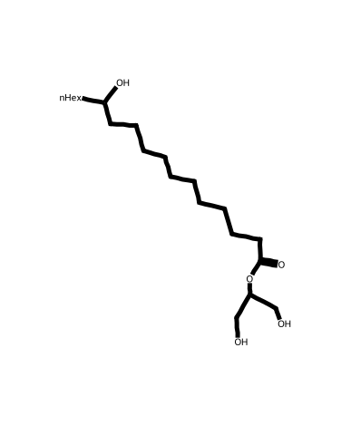 CCCCCCC(O)CCCCCCCCCCC(=O)OC(CO)CO